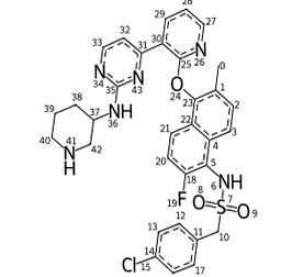 Cc1ccc2c(NS(=O)(=O)Cc3ccc(Cl)cc3)c(F)ccc2c1Oc1ncccc1-c1ccnc(NC2CCCNC2)n1